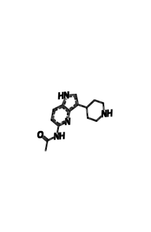 CC(=O)Nc1ccc2[nH]cc(C3CCNCC3)c2n1